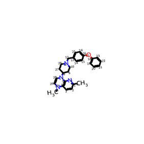 Cc1ccc2c(n1)N(C1CCN(Cc3ccc(Oc4ccccc4)cc3)CC1)C=CN2C